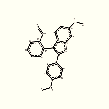 COc1ccc(-c2sc3cc(OC)ccc3c2-c2ccccc2C=O)cc1